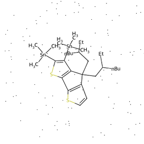 CCCCC(CC)CC1(CC(CC)CCCC)c2ccsc2-c2s[c]([Sn]([CH3])([CH3])[CH3])[c]([Sn]([CH3])([CH3])[CH3])c21